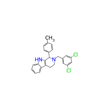 Cc1ccc(C2c3[nH]c4ccccc4c3CCN2Cc2cc(Cl)cc(Cl)c2)cc1